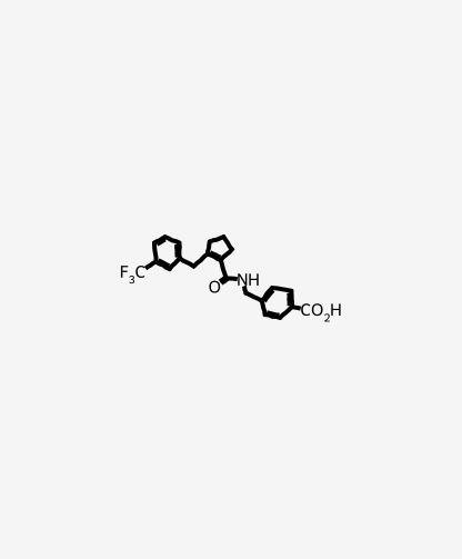 O=C(NCc1ccc(C(=O)O)cc1)C1=C(Cc2cccc(C(F)(F)F)c2)CCC1